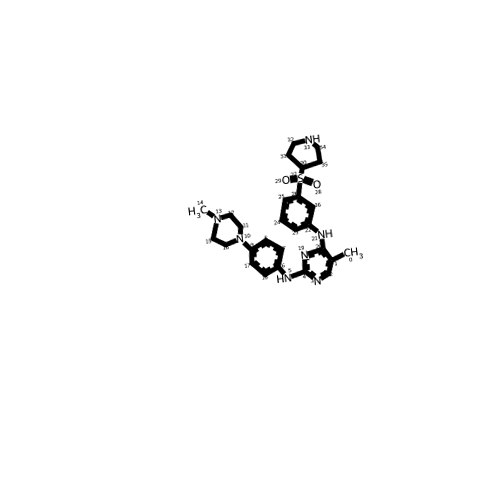 Cc1cnc(Nc2ccc(N3CCN(C)CC3)cc2)nc1Nc1cccc(S(=O)(=O)C2CCNCC2)c1